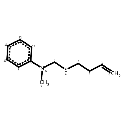 C=CCCSCN(C)c1ccccc1